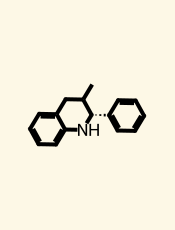 CC1Cc2ccccc2N[C@H]1c1ccccc1